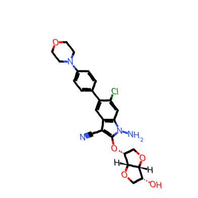 N#Cc1c(O[C@@H]2CO[C@H]3[C@@H]2OC[C@H]3O)n(N)c2cc(Cl)c(-c3ccc(N4CCOCC4)cc3)cc12